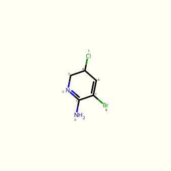 NC1=NCC(Cl)C=C1Br